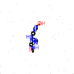 C=CC(=O)Nc1cccc(-c2nc(Nc3ccc(N4CCN(CCO)CC4)cc3)cn3ccnc23)c1